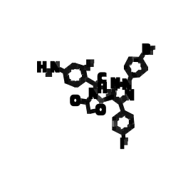 CC(c1ccc(N)cc1F)N1C(=O)CO[C@@H]1c1nn(-c2ccc(Br)cc2)nc1-c1ccc(F)cc1